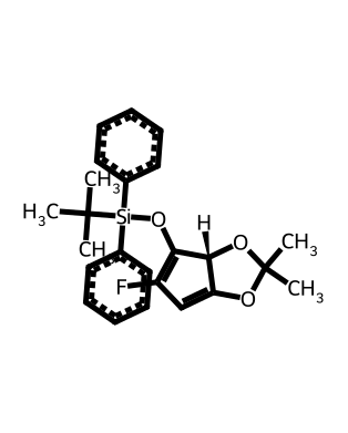 CC1(C)OC2=CC(F)=C(O[Si](c3ccccc3)(c3ccccc3)C(C)(C)C)[C@@H]2O1